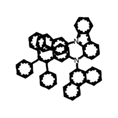 c1ccc(-c2c(-c3ccccc3)c3cc(N(c4cc5ccccc5c5ccccc45)c4cccc5c6ccccc6n(-c6ccc7ccccc7c6)c45)ccc3c3ccccc23)cc1